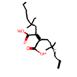 CCCCC(C)(C)C/C(C(=O)O)=C(\CC(C)(C)CCCC)C(=O)O